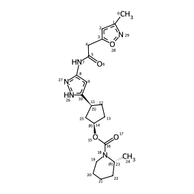 Cc1cc(CC(=O)Nc2cc([C@H]3CC[C@@H](OC(=O)N4CCCC[C@H]4C)C3)[nH]n2)on1